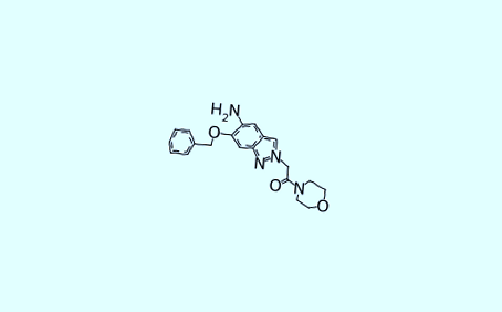 Nc1cc2cn(CC(=O)N3CCOCC3)nc2cc1OCc1ccccc1